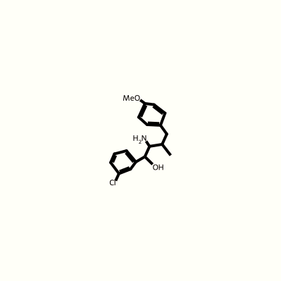 COc1ccc(CC(C)C(N)C(O)c2cccc(Cl)c2)cc1